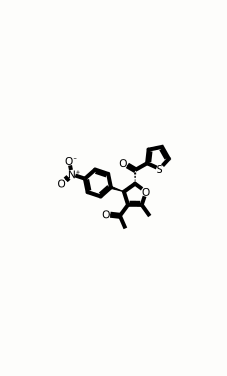 CC(=O)C1=C(C)O[C@@H](C(=O)c2cccs2)[C@@H]1c1ccc([N+](=O)[O-])cc1